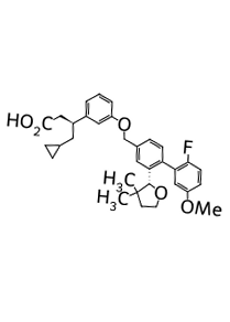 COc1ccc(F)c(-c2ccc(COc3cccc([C@H](CC(=O)O)CC4CC4)c3)cc2[C@@H]2OCCC2(C)C)c1